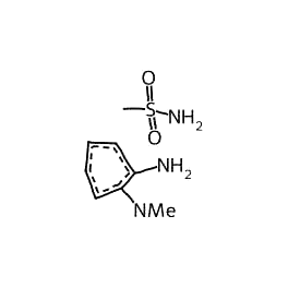 CNc1ccccc1N.CS(N)(=O)=O